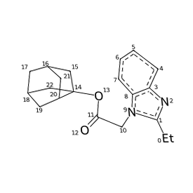 CCc1nc2ccccc2n1CC(=O)OC12CC3CC(CC1C3)C2